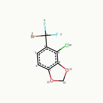 FC(F)(Br)c1ccc2c(c1Cl)OCO2